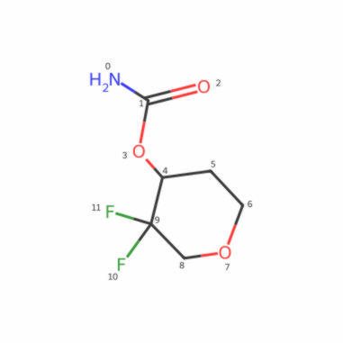 NC(=O)OC1CCOCC1(F)F